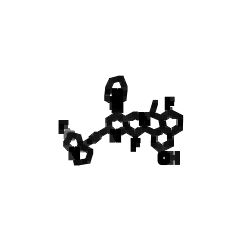 CCc1c(F)ccc2cc(O)cc(-c3ncc4c(N5CC6CCC(C5)N6)cc(C#C[C@@]56CCCN5C[C@H](F)C6)nc4c3F)c12